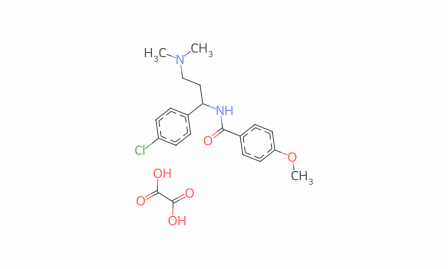 COc1ccc(C(=O)NC(CCN(C)C)c2ccc(Cl)cc2)cc1.O=C(O)C(=O)O